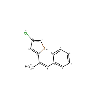 O=C(O)C(=Cc1ccccc1)c1cc(Cl)cs1